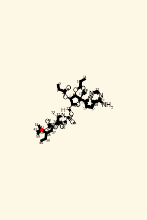 CCC(=O)O[C@H]1[C@@H](OC(=O)CC)[C@](C#N)(c2ccc3c(N)ncnn23)O[C@@H]1CO[P@](=O)(N[C@@H](C)C(=O)OCC(CC)CC)OCOC(=O)OC(C)C